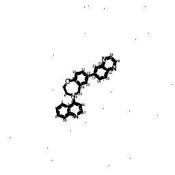 c1ccc2c(N3CCOc4ccc(-c5ccc6nccnc6c5)cc4C3)ccnc2c1